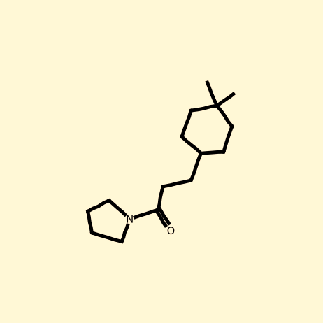 CC1(C)CCC(CCC(=O)N2CCCC2)CC1